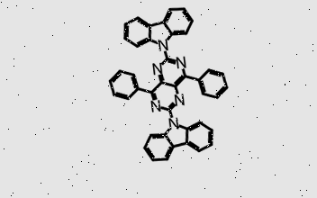 c1ccc(-c2nc(-n3c4ccccc4c4ccccc43)nc3c(-c4ccccc4)nc(-n4c5ccccc5c5ccccc54)nc23)cc1